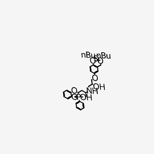 CCCC[Si]1(CCCC)OCc2cc(OCC(O)CNC(C)CC(Oc3ccccc3)P(=O)(O)c3ccccc3)ccc2O1